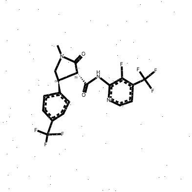 CN1C[C@H](c2ccc(C(F)(F)F)cc2)[C@@H](C(=O)Nc2nccc(C(F)(F)F)c2F)C1=O